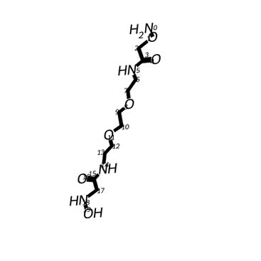 NOCC(=O)NCCOCCOCCNC(=O)CNO